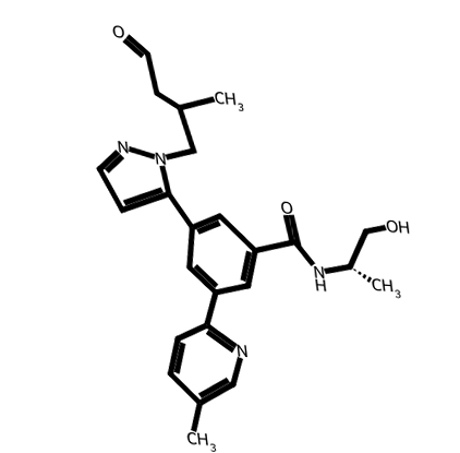 Cc1ccc(-c2cc(C(=O)N[C@@H](C)CO)cc(-c3ccnn3CC(C)CC=O)c2)nc1